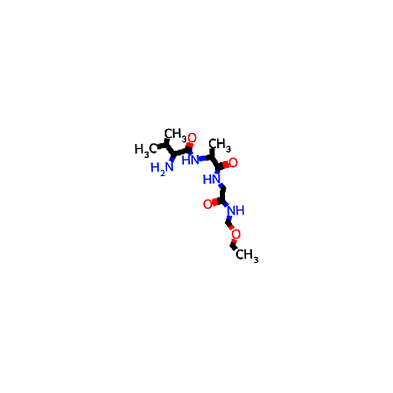 CCOCNC(=O)CNC(=O)C(C)NC(=O)C(N)C(C)C